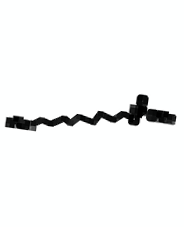 CCCCCCCCCCCCCCCCCCO[PH](=O)OC